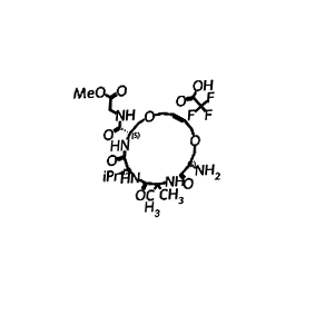 COC(=O)CNC(=O)[C@@H]1COCC=CCOC[C@H](N)C(=O)NC(C)(C)C(=O)N[C@@H](C(C)C)C(=O)N1.O=C(O)C(F)(F)F